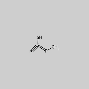 CP=S(#P)S